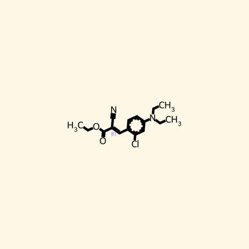 CCOC(=O)/C(C#N)=C/c1ccc(N(CC)CC)cc1Cl